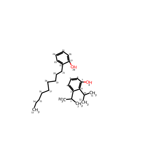 CC(C)c1cccc(O)c1C(C)C.CCCCCCCCCc1ccccc1O